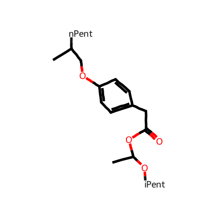 CCCCCC(C)COc1ccc(CC(=O)OC(C)OC(C)CCC)cc1